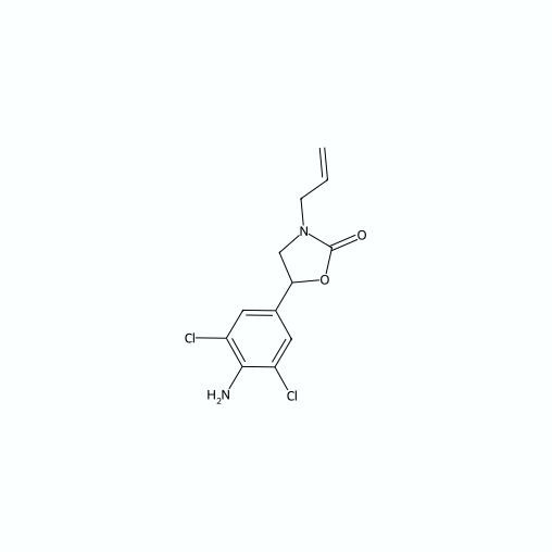 C=CCN1CC(c2cc(Cl)c(N)c(Cl)c2)OC1=O